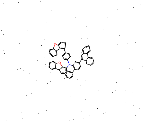 C1=CC2c3ccccc3OC2C(N(c2ccc(-c3cccc4oc5ccccc5c34)cc2)c2cc(-c3cc4ccccc4c4ccccc34)ccc2-c2ccccc2)=C1